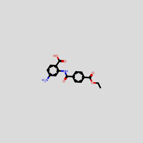 CCOC(=O)c1ccc(C(=O)Nc2cc(N)ccc2C(=O)O)cc1